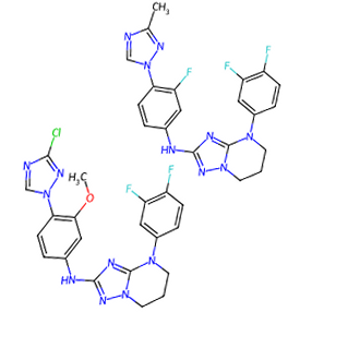 COc1cc(Nc2nc3n(n2)CCCN3c2ccc(F)c(F)c2)ccc1-n1cnc(Cl)n1.Cc1ncn(-c2ccc(Nc3nc4n(n3)CCCN4c3ccc(F)c(F)c3)cc2F)n1